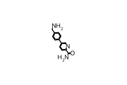 NCc1ccc(-c2ccc(C(N)=O)nc2)cc1